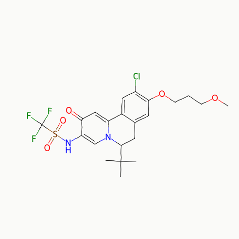 COCCCOc1cc2c(cc1Cl)-c1cc(=O)c(NS(=O)(=O)C(F)(F)F)cn1C(C(C)(C)C)C2